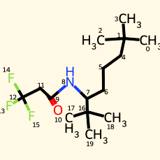 CC(C)(C)CCCC(NC(=O)CC(F)(F)F)C(C)(C)C